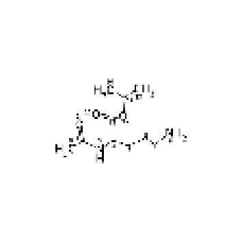 CC(=O)NC(CCCN)C(=O)OC(C)C